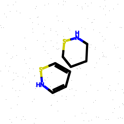 C1=CNSC=C1.C1CCSNC1